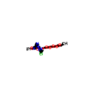 C#CCOCCOCCOCCOCCOCCCCn1c(CN2C(=O)C3(CCN(COC(C)C)CC3)c3ccncc32)nc2cc(Cl)ccc21